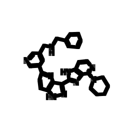 c1ccc(CNCc2cncc(-c3ccc4[nH]nc(-c5nc6c(N7CCCCC7)nccc6[nH]5)c4n3)c2)cc1